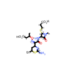 CCC1CC(/C(=N/OC(C)CC(=O)O)C(=O)NC2C(=O)N(C)[C@@H]2SCCC(=O)O)N=C(N)S1